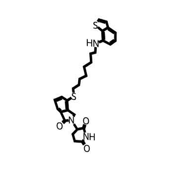 O=C1CCC(N2Cc3c(SCCCCCCCCNc4cccc5ccsc45)cccc3C2=O)C(=O)N1